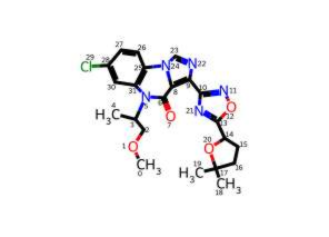 COCC(C)n1c(=O)c2c(-c3noc(C4CCC(C)(C)O4)n3)ncn2c2ccc(Cl)cc21